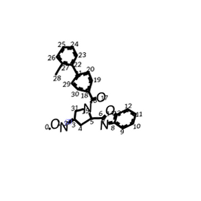 CO/N=C1/CC(c2nc3ccccc3o2)N(C(=O)c2ccc(-c3ccccc3C)cc2)C1